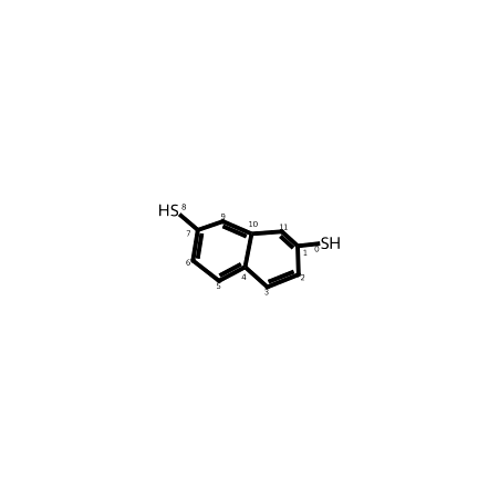 Sc1ccc2ccc(S)cc2c1